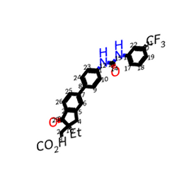 CCC1(CC(=O)O)Cc2cc(-c3ccc(NC(=O)Nc4cccc(C(F)(F)F)c4)cc3)ccc2C1=O